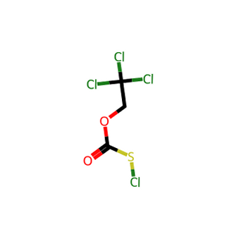 O=C(OCC(Cl)(Cl)Cl)SCl